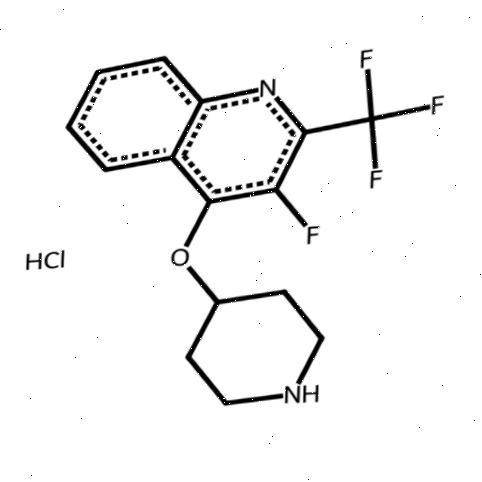 Cl.Fc1c(C(F)(F)F)nc2ccccc2c1OC1CCNCC1